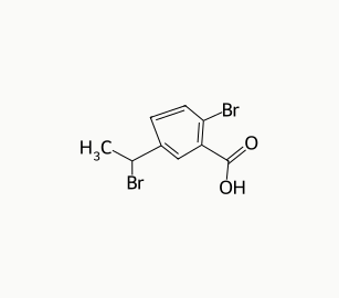 CC(Br)c1ccc(Br)c(C(=O)O)c1